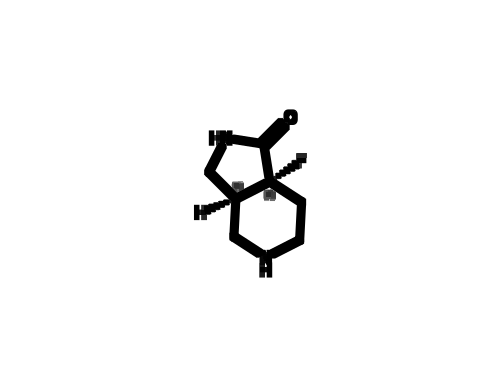 O=C1NC[C@@H]2CNCC[C@]12F